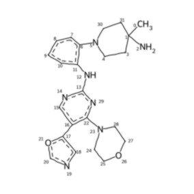 CC1(N)CCN(c2ccccc2Nc2ncc(-c3cnco3)c(N3CCOCC3)n2)CC1